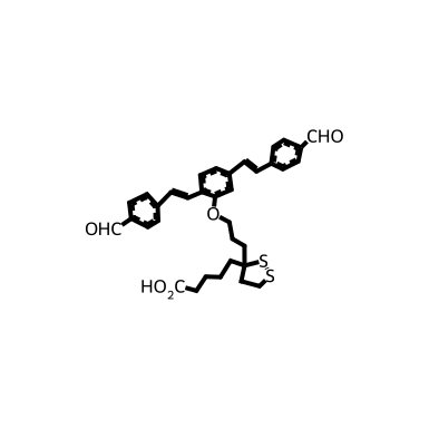 O=Cc1ccc(C=Cc2ccc(C=Cc3ccc(C=O)cc3)c(OCCCC3(CCCCC(=O)O)CCSS3)c2)cc1